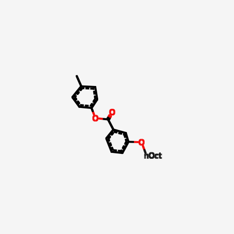 CCCCCCCCOc1cccc(C(=O)Oc2ccc(C)cc2)c1